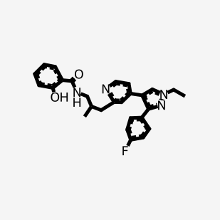 CCn1cc(-c2ccnc(CC(C)CNC(=O)c3ccccc3O)c2)c(-c2ccc(F)cc2)n1